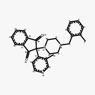 Cc1ccccc1CN1CCN(C2(c3ccncc3C)C(=O)c3ccccc3C2=O)CC1